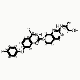 C[C@@H](CO)Nc1ncc2c(n1)CN(C(=O)N[C@H](C)c1ccc(Oc3ccc(F)cc3)cc1)CC2